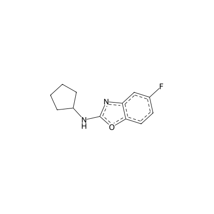 Fc1ccc2oc(NC3CCCC3)nc2c1